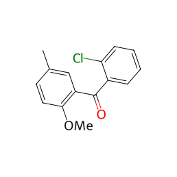 COc1ccc(C)cc1C(=O)c1ccccc1Cl